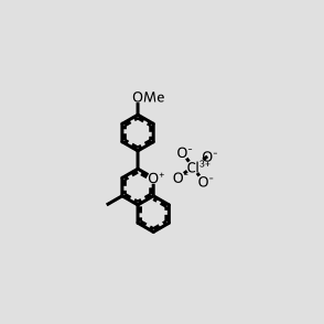 COc1ccc(-c2cc(C)c3ccccc3[o+]2)cc1.[O-][Cl+3]([O-])([O-])[O-]